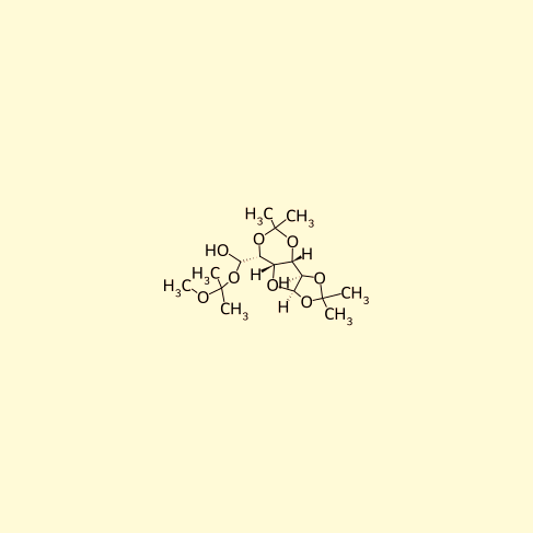 COC(C)(C)OC(O)[C@@H]1OC(C)(C)O[C@@H]2[C@H]3OC(C)(C)O[C@H]3O[C@@H]21